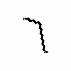 CC/C=C/CC/C=C\C=C\CCCCCCCC(C)=O